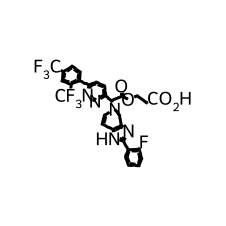 O=C(O)CCOC(=O)C(c1ccc(-c2ccc(C(F)(F)F)cc2C(F)(F)F)nn1)N1C=Cc2[nH]c(-c3ccccc3F)nc2C1